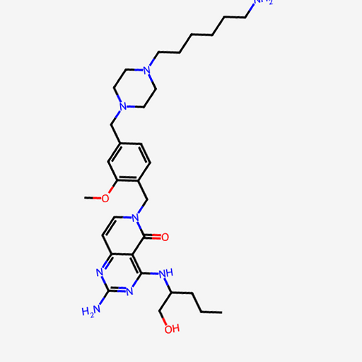 CCCC(CO)Nc1nc(N)nc2ccn(Cc3ccc(CN4CCN(CCCCCCN)CC4)cc3OC)c(=O)c12